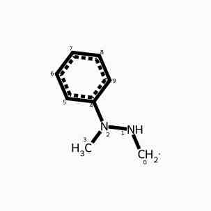 [CH2]NN(C)c1ccccc1